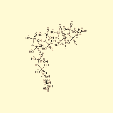 O=P(O)(O)CP(=O)(O)O.O=P(O)(O)CP(=O)(O)O.O=P(O)(O)CP(=O)(O)O.O=P(O)(O)CP(=O)(O)O.O=P(O)(O)CP(=O)(O)O.[NaH].[NaH].[NaH].[NaH].[NaH].[NaH].[NaH]